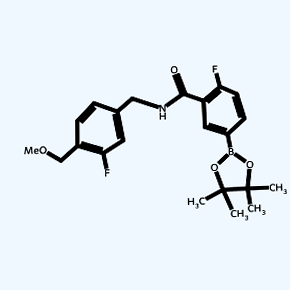 COCc1ccc(CNC(=O)c2cc(B3OC(C)(C)C(C)(C)O3)ccc2F)cc1F